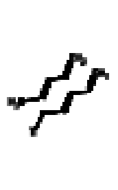 C=CC=CC.C=CC=C[CH2][Ti]